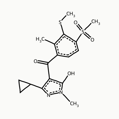 CSc1c(S(C)(=O)=O)ccc(C(=O)c2c(C3CC3)nn(C)c2O)c1C